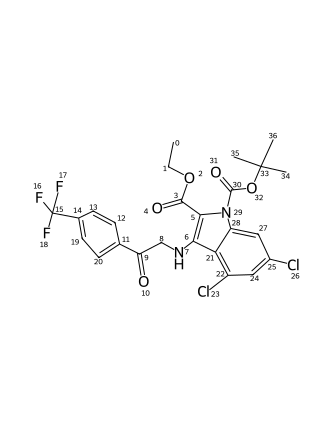 CCOC(=O)c1c(NCC(=O)c2ccc(C(F)(F)F)cc2)c2c(Cl)cc(Cl)cc2n1C(=O)OC(C)(C)C